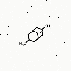 CC1CC2CC(C1)CN(C)C2